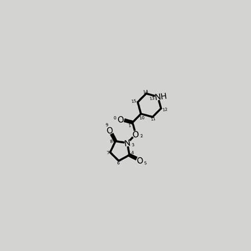 O=C(ON1C(=O)CCC1=O)C1CCNCC1